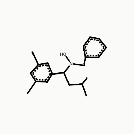 Cc1cc(C)cc(C(CC(C)C)N(O)Cc2ccccc2)c1